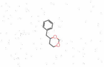 [CH]1OCCC(Cc2ccccc2)O1